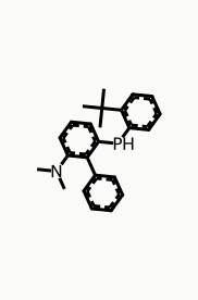 CN(C)c1cccc(Pc2ccccc2C(C)(C)C)c1-c1ccccc1